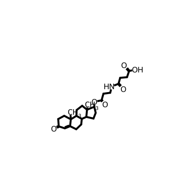 CC12CCC(=O)C=C1CCC1C2CCC2(C)C(OC(=O)CCNC(=O)CCC(=O)O)CCC12